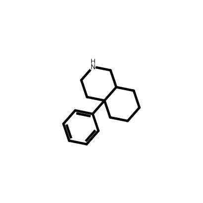 c1ccc(C23CCCCC2CNCC3)cc1